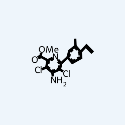 C=Cc1ccc(-c2nc(C(=O)OC)c(Cl)c(N)c2Cl)cc1C